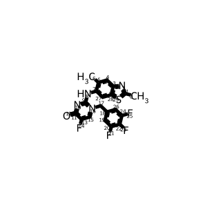 Cc1nc2cc(C)c(Nc3nc(=O)c(F)cn3Cc3cc(F)c(F)c(F)c3)cc2s1